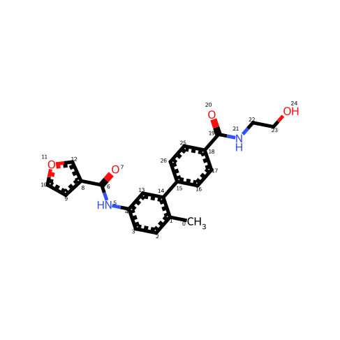 Cc1ccc(NC(=O)c2ccoc2)cc1-c1ccc(C(=O)NCCO)cc1